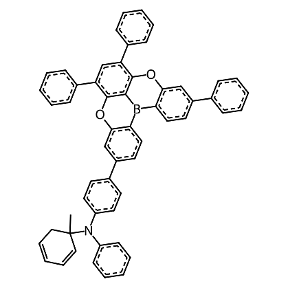 CC1(N(c2ccccc2)c2ccc(-c3ccc4c(c3)Oc3c(-c5ccccc5)cc(-c5ccccc5)c5c3B4c3ccc(-c4ccccc4)cc3O5)cc2)C=CC=CC1